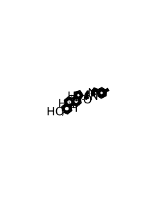 Cc1ccc2nn(CC(=O)[C@H]3CC[C@H]4[C@@H]5CC[C@H]6C[C@](C)(O)CC[C@]6(C)[C@H]5CC[C@]34C)cc2c1